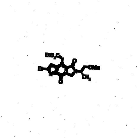 CCOC(=O)Cn1c2c(c(=O)n3nc(CC)cc13)CN([C@@H](C)COC)C2=O